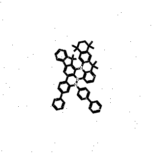 CC1(C)CCC(C)(C)c2cc3c(cc21)N1c2c(cccc2C3(C)C)B2c3c(cc4c(c31)C(C)(C)c1ccccc1-4)-c1ccc(-c3ccccc3)cc1N2c1ccc(-c2ccccc2)cc1